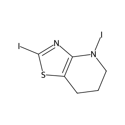 Ic1nc2c(s1)CCCN2I